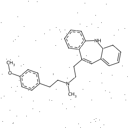 COc1ccc(CCN(C)CCC2=CC3=CC=CCC3Nc3ccccc32)cc1